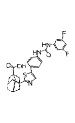 O=C(Nc1ccc(-c2cnc(C34CC5CC(CC(C(=O)O)(C5)C3)C4)s2)cc1)Nc1cc(F)cc(F)c1